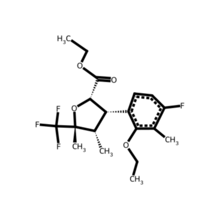 CCOC(=O)[C@H]1O[C@@](C)(C(F)(F)F)[C@@H](C)[C@H]1c1ccc(F)c(C)c1OCC